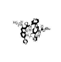 C[C@H]1CN(c2ccncc2NC(=O)c2nc3cc(N4CCOCC4)ccc3cc2NC(=O)O)C[C@@H](NC(=O)OC(C)(C)C)[C@H]1n1ccnn1